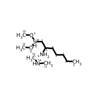 CCCCCC(N)C[SiH](OC)OC.CNC